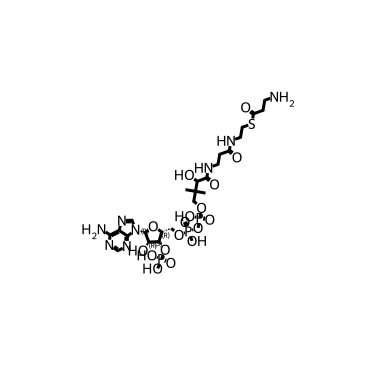 CC(C)(COP(=O)(O)OP(=O)(O)OC[C@H]1O[C@@H](n2cnc3c(N)ncnc32)[C@H](O)[C@@H]1OP(=O)(O)O)C(O)C(=O)NCCC(=O)NCCSC(=O)CCN